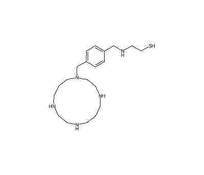 SCCNCc1ccc(CN2CCCNCCNCCCNCC2)cc1